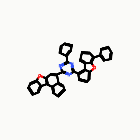 c1ccc(-c2nc(-c3cc4oc5ccccc5c4c4ccccc34)nc(-c3cccc4oc5c(-c6ccccc6)cccc5c34)n2)cc1